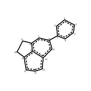 [c]1ccccc1-c1cc2c3c(cccc3c1)CC2